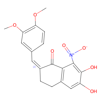 COc1ccc(/C=C2/CCc3cc(O)c(O)c([N+](=O)[O-])c3C2=O)cc1OC